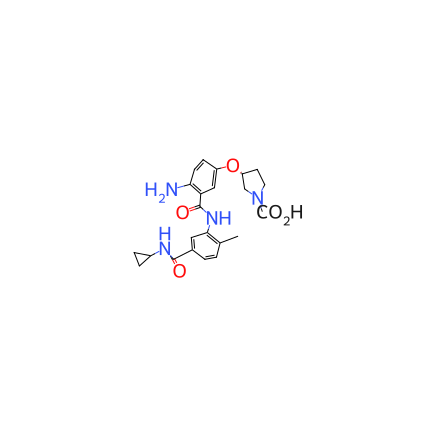 Cc1ccc(C(=O)NC2CC2)cc1NC(=O)c1cc(O[C@@H]2CCN(C(=O)O)C2)ccc1N